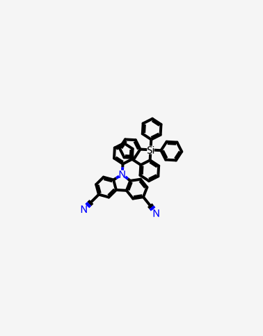 N#Cc1ccc2c(c1)c1cc(C#N)ccc1n2-c1ccccc1-c1ccccc1[Si](c1ccccc1)(c1ccccc1)c1ccccc1